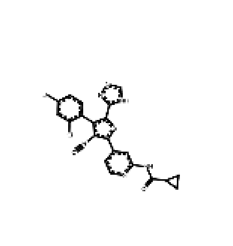 [C-]#[N+]c1c(-c2ccnc(NC(=O)C3CC3)c2)sc(-c2nnc[nH]2)c1-c1ccc(Cl)cc1Cl